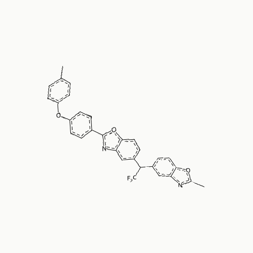 Cc1ccc(Oc2ccc(-c3nc4cc(C(c5ccc6oc(C)nc6c5)C(F)(F)F)ccc4o3)cc2)cc1